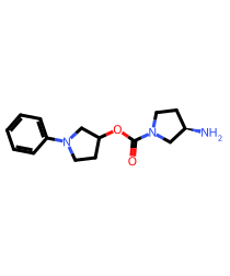 N[C@@H]1CCN(C(=O)OC2CCN(c3ccccc3)C2)C1